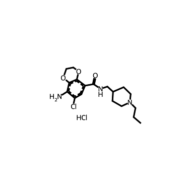 CCCN1CCC(CNC(=O)c2cc(Cl)c(N)c3c2OCCO3)CC1.Cl